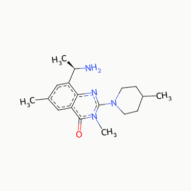 Cc1cc([C@@H](C)N)c2nc(N3CCC(C)CC3)n(C)c(=O)c2c1